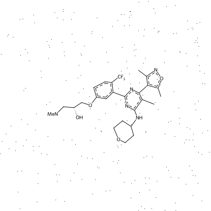 CNC[C@@H](O)COc1ccc(C(F)(F)F)c(-c2nc(NC3CCOCC3)c(C)c(-c3c(C)noc3C)n2)c1